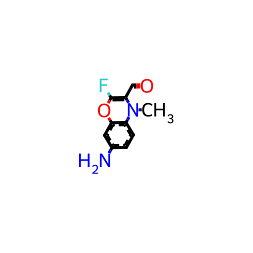 CN1C(C=O)=C(F)Oc2cc(N)ccc21